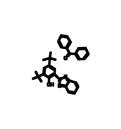 CC(C)(C)c1cc(-n2nc3ccccc3n2)c(O)c(C(C)(C)C)c1.O=C(c1ccccc1)c1ccccc1